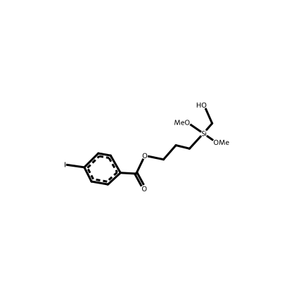 CO[Si](CO)(CCCOC(=O)c1ccc(I)cc1)OC